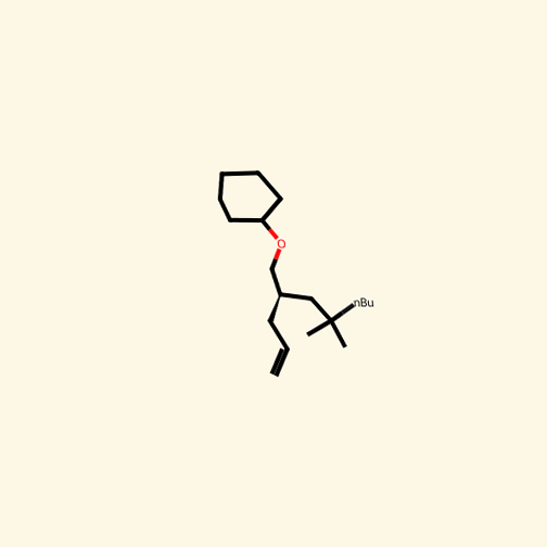 C=CC[C@@H](COC1CCCCC1)CC(C)(C)CCCC